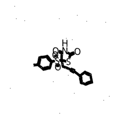 Cc1ccc(S(=O)(=O)C2(CC#Cc3ccccc3)SC(=O)NC2=O)cc1